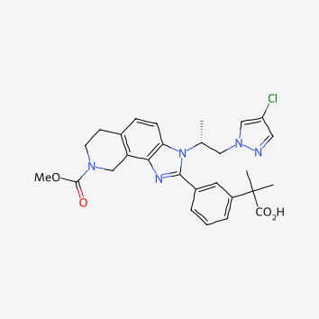 COC(=O)N1CCc2ccc3c(nc(-c4cccc(C(C)(C)C(=O)O)c4)n3[C@H](C)Cn3cc(Cl)cn3)c2C1